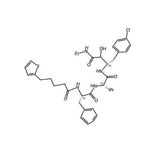 CCNC(=O)C(O)[C@H](Cc1ccc(Cl)cc1)NC(=O)[C@@H](NC(=O)[C@H](Cc1ccccc1)NC(=O)CCCCc1cccs1)C(C)C